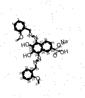 COc1ccccc1CN=Nc1c(O)c(O)c(N=NCc2ccccc2OC)c2cc(S(=O)(=O)O)ccc12.[Na]